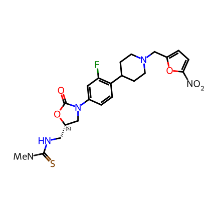 CNC(=S)NC[C@H]1CN(c2ccc(C3CCN(Cc4ccc([N+](=O)[O-])o4)CC3)c(F)c2)C(=O)O1